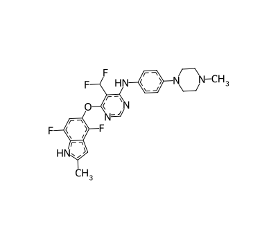 Cc1cc2c(F)c(Oc3ncnc(Nc4ccc(N5CCN(C)CC5)cc4)c3C(F)F)cc(F)c2[nH]1